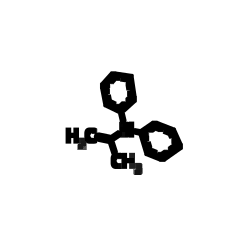 C=[C](C)[Bi]([c]1ccccc1)[c]1ccccc1